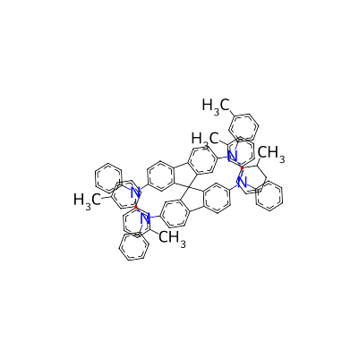 Cc1cccc(N(C2=CC=CCC2C)c2ccc3c(c2)C2(c4cc(N(c5ccccc5)c5cccc(C)c5)ccc4-3)c3cc(N(c4ccccc4)c4cccc(C)c4)ccc3-c3ccc(N(c4ccccc4)c4cccc(C)c4)cc32)c1